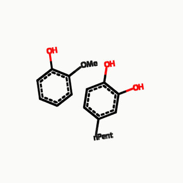 CCCCCc1ccc(O)c(O)c1.COc1ccccc1O